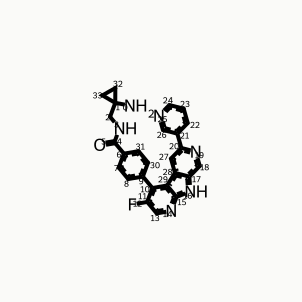 NC1(CNC(=O)c2ccc(-c3c(F)cnc4[nH]c5cnc(-c6cccnc6)cc5c34)cc2)CC1